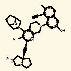 C#Cc1c(F)ccc2cc(O)cc(N3CCc4c(nc(C#CC56CCCN5C[C@H](F)C6)c(C#N)c4N4CC5CCC(C4)N5)C3)c12